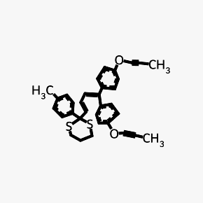 CC#COc1ccc(C(=CC=CC2(c3ccc(C)cc3)SCCCS2)c2ccc(OC#CC)cc2)cc1